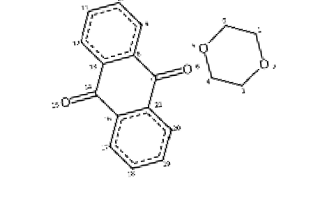 C1COCCO1.O=C1c2ccccc2C(=O)c2ccccc21